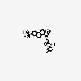 Cc1cnc(NC(=O)CC[C@H]2CC(F)(F)[C@@]3(C)CCC4c5ccc(B(O)O)cc5CCC4C23)s1